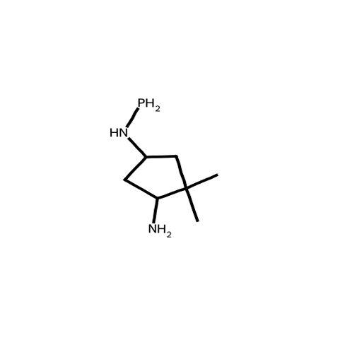 CC1(C)CC(NP)CC1N